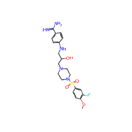 COc1ccc(S(=O)(=O)N2CCN(CC(O)CNc3ccc(C(=N)N)cc3)CC2)cc1F